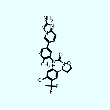 Cc1ncc(-c2ccc3nc(N)nn3c2)cc1NC(=O)N1OCC[C@H]1c1ccc(Cl)c(C(F)(F)F)c1